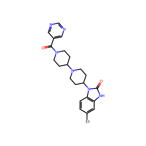 CCc1ccc2c(c1)[nH]c(=O)n2C1CCN(C2CCN(C(=O)c3cncnc3)CC2)CC1